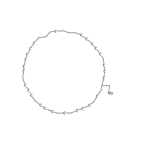 O=NCC1CCCCCCCCCCCCCCCCCCCCCCCCCCCCCCCCCCCCCCC1